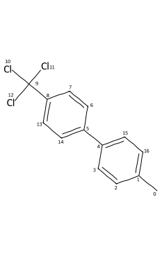 Cc1ccc(-c2ccc(C(Cl)(Cl)Cl)cc2)cc1